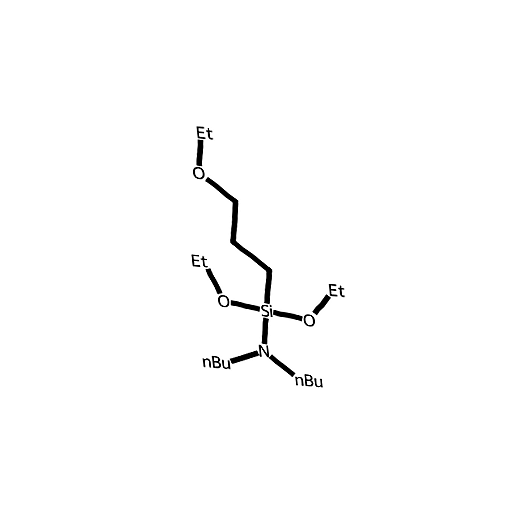 CCCCN(CCCC)[Si](CCCOCC)(OCC)OCC